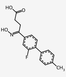 Cc1ccc(-c2ccc(C(CCC(=O)O)=NO)cc2F)cc1